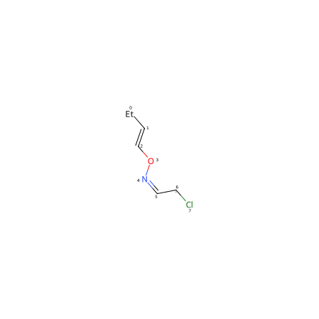 CC/C=C/O/N=C\[CH]Cl